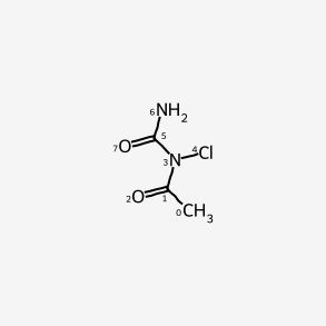 CC(=O)N(Cl)C(N)=O